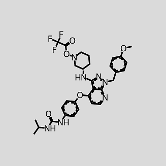 COc1ccc(Cn2nc(N[C@@H]3CCCN(OC(=O)C(F)(F)F)C3)c3c(Oc4ccc(NC(=O)NC(C)C)cc4)ccnc32)cc1